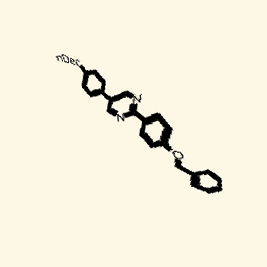 CCCCCCCCCCc1ccc(-c2cnc(-c3ccc(OCc4ccccc4)cc3)nc2)cc1